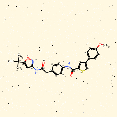 COc1ccc(-c2csc(C(=O)Nc3ccc(CC(=O)Nc4cc(C(C)(C)C)on4)cc3)c2)cc1